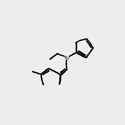 C[CH2][Ru]([CH]=C(C)C=C(C)C)[C]1=CC=CC1